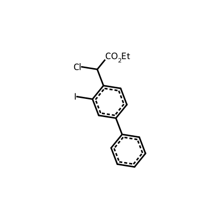 CCOC(=O)C(Cl)c1ccc(-c2ccccc2)cc1I